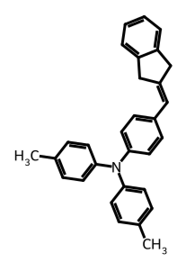 Cc1ccc(N(c2ccc(C)cc2)c2ccc(C=C3Cc4ccccc4C3)cc2)cc1